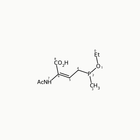 CCOP(C)CC=C(NC(C)=O)C(=O)O